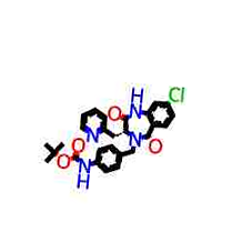 CC(C)(C)OC(=O)Nc1ccc(CN2C(=O)c3ccc(Cl)cc3NC(=O)[C@H]2Cc2ccccn2)cc1